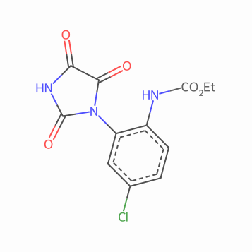 CCOC(=O)Nc1ccc(Cl)cc1N1C(=O)NC(=O)C1=O